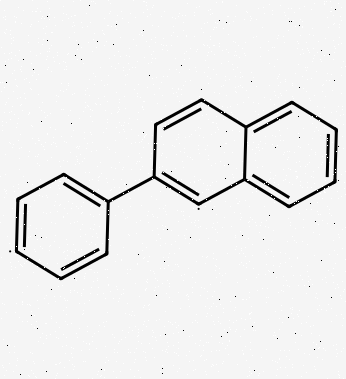 [c]1ccc(-c2[c]c3ccccc3cc2)cc1